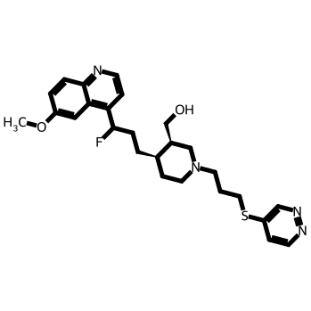 COc1ccc2nccc(C(F)CC[C@@H]3CCN(CCCSc4ccnnc4)C[C@@H]3CO)c2c1